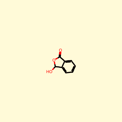 O=C1OC(O)c2ccccc21